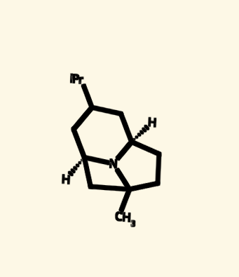 CC(C)C1C[C@H]2CCC3(C)C[C@@H](C1)N23